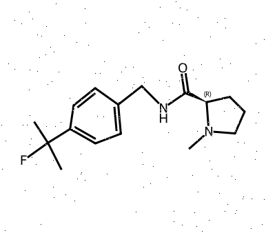 CN1CCC[C@@H]1C(=O)NCc1ccc(C(C)(C)F)cc1